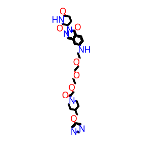 O=C1CCC(n2ncc3cc(NCCOCCOCCOCC(=O)N4CCC(COc5cncnc5)CC4)ccc3c2=O)C(=O)N1